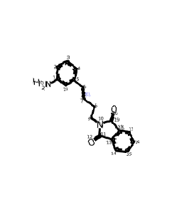 Nc1cccc(/C=C/CCN2C(=O)c3ccccc3C2=O)c1